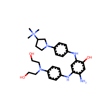 C[N+](C)(C)C1CCN(c2ccc(Nc3cc(Nc4ccc(N(CCO)CCO)cc4)c(N)cc3O)cc2)C1